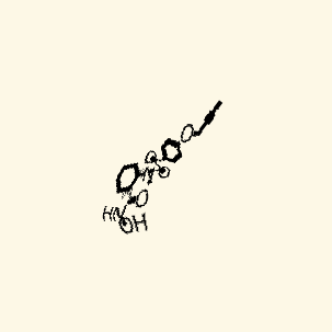 CC#CCOc1ccc(S(=O)(=O)N(C)[C@@H]2CCCC[C@H]2C(=O)NO)cc1